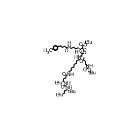 Cc1ccc(CCCC(=O)NCCCC[C@H](NC(=O)[C@H](CCCCNC(=O)OC(C)(C)C)NC(=O)CCCCCCCNC(=O)CC[C@H](NC(=O)N[C@@H](CCC(C)(C)C)C(C)(C)C)C(C)(C)C)C(=O)C(=O)OC(C)(C)C)cc1